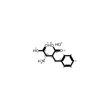 Cl.N[C@H](C(=O)O)C(Cc1ccccc1)C(=O)O